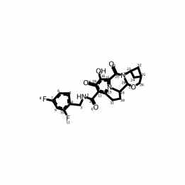 O=C(NCc1ccc(F)cc1F)c1c2n3c(c(O)c1=O)C(=O)N1C4CC(COC1C3CC2)C4